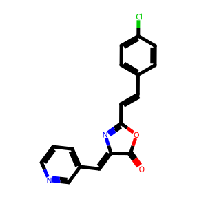 O=C1OC(/C=C/c2ccc(Cl)cc2)=NC/1=C\c1cccnc1